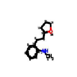 CNc1ccccc1CCC1CCCO1